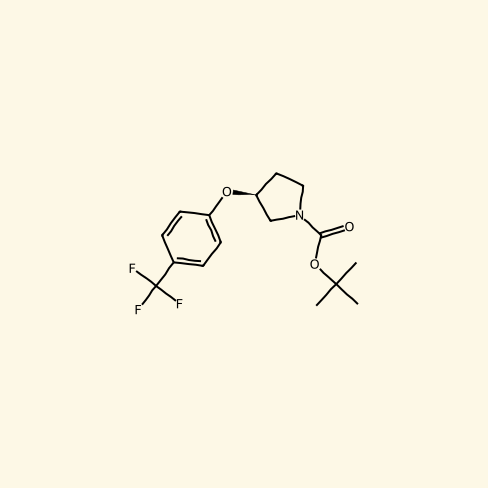 CC(C)(C)OC(=O)N1CC[C@H](Oc2ccc(C(F)(F)F)cc2)C1